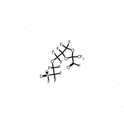 O=C(F)C1(C(F)(F)F)OC(F)(F)C(F)(C(F)(F)OC(F)(F)C(F)(F)S(=O)(=O)F)O1